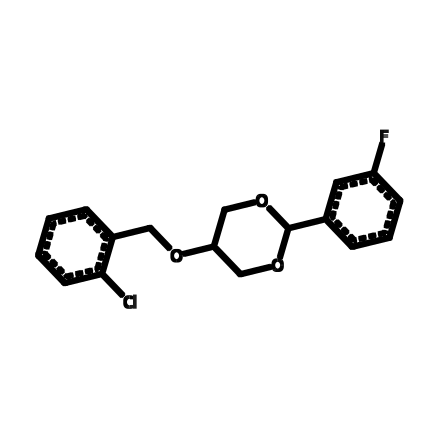 Fc1cccc(C2OCC(OCc3ccccc3Cl)CO2)c1